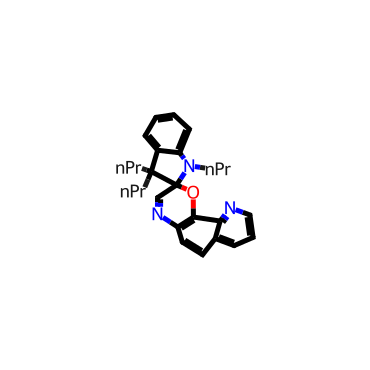 CCCN1c2ccccc2C(CCC)(CCC)C12C=Nc1ccc3cccnc3c1O2